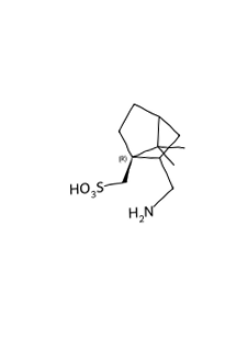 CC1(C)C2CC[C@@]1(CS(=O)(=O)O)C(CN)C2